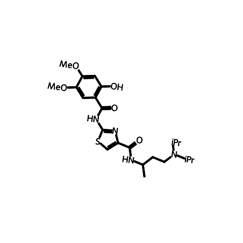 COc1cc(O)c(C(=O)Nc2nc(C(=O)NC(C)CCN(C(C)C)C(C)C)cs2)cc1OC